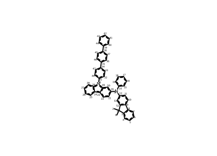 CC1(C)c2ccccc2-c2ccc(N(c3ccccc3)c3ccc4c5ccccc5n(-c5ccc(-c6ccc(-c7ccccc7)cc6)cc5)c4c3)cc21